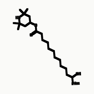 CCCCCCC(O)CCCCCCCCCCC(=O)OC1CC(C)(C)NC(C)(C)C1